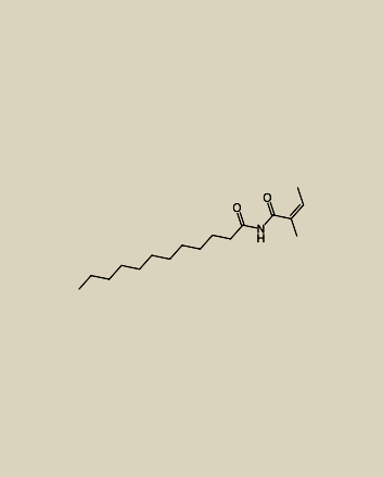 CC=C(C)C(=O)NC(=O)CCCCCCCCCCC